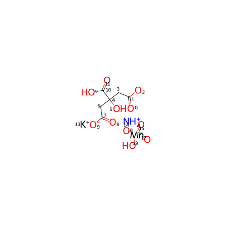 O=C([O-])CC(O)(CC(=O)[O-])C(=O)O.[K+].[NH4+].[O]=[Mn](=[O])(=[O])[OH]